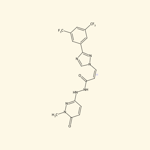 Cn1nc(NNC(=O)/C=C\n2cnc(-c3cc(C(F)(F)F)cc(C(F)(F)F)c3)n2)ccc1=O